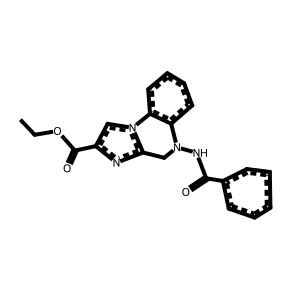 CCOC(=O)c1cn2c(n1)CN(NC(=O)c1ccccc1)c1ccccc1-2